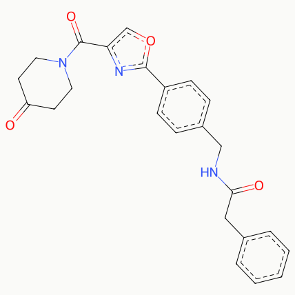 O=C1CCN(C(=O)c2coc(-c3ccc(CNC(=O)Cc4ccccc4)cc3)n2)CC1